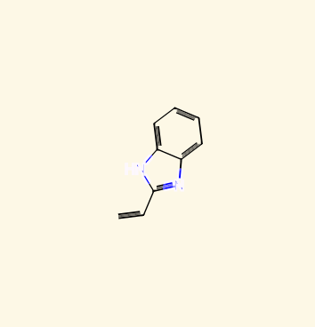 [CH]=Cc1nc2ccccc2[nH]1